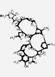 Cc1cc2ccc1Oc1cc3cc(c1C)Oc1ccc(cc1C)[C@@H](O)[C@@H](NC(=O)[C@@H](CC(C)C)N(C)C)C(=O)N[C@@H](CC(N)=O)C(=O)N[C@H]3C(=O)N[C@H]1C(=O)N[C@H](C(=O)N[C@@H]([C](=O)[Rb])c3cc(O)c(C)c(O)c3-c3cc1ccc3O)[C@@H]2C